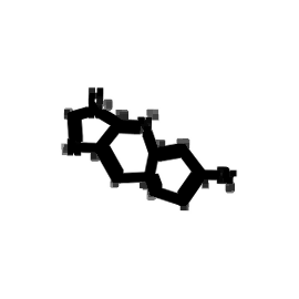 Brc1ccc2cc3nc[nH]c3nc2c1